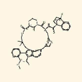 CCn1c(-c2cccnc2[C@H](C)OC)c2c3cc(ccc31)-c1csc(n1)C[C@H](NC(=O)[C@@]13CC[C@@H](O1)c1ccccc13)C(=O)N1CCC[C@H](N1)C(=O)OCC(C)(C)C2